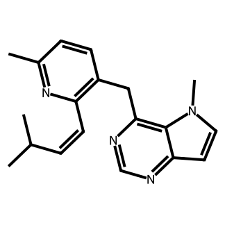 Cc1ccc(Cc2ncnc3ccn(C)c23)c(/C=C\C(C)C)n1